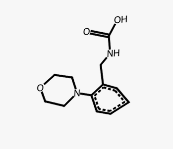 O=C(O)NCc1ccccc1N1CCOCC1